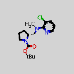 CN(C[C@H]1CCCN1C(=O)OC(C)(C)C)c1ncccc1Cl